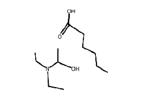 CCCCCC(=O)O.CCN(CC)C(C)O